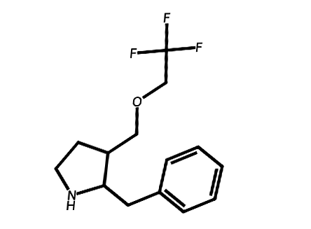 FC(F)(F)COCC1CCNC1Cc1ccccc1